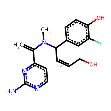 C=C(c1ccnc(N)n1)N(C)C(/C=C\CO)c1ccc(O)c(F)c1